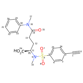 C#Cc1ccc(S(=O)(=O)N(C)[C@H](CCC(=O)N(C)c2ccccc2)C(=O)O)cc1